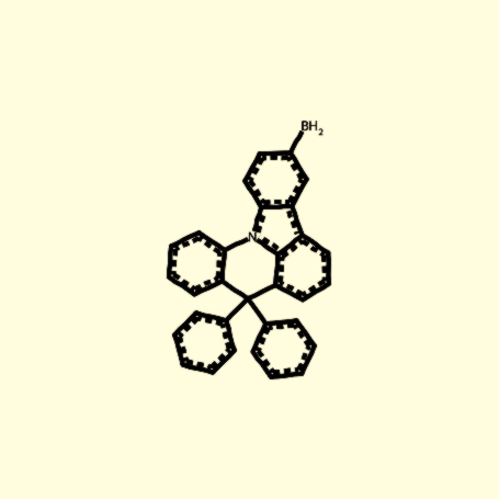 Bc1ccc2c(c1)c1cccc3c1n2-c1ccccc1C3(c1ccccc1)c1ccccc1